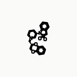 O=S1(=O)Cc2ccccc2N1[C@H]1CCCN(C[C@H]2COc3ccccc3O2)C1